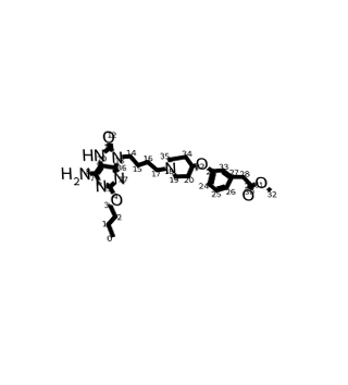 CCCCOc1nc(N)c2[nH]c(=O)n(CCCCN3CCC(Oc4cccc(CC(=O)OC)c4)CC3)c2n1